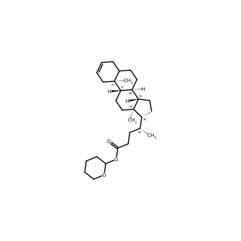 C[C@H](CCC(=O)OC1CCCCO1)[C@H]1CC[C@H]2[C@@H]3CCC4CC=CC[C@]4(C)[C@H]3CC[C@]12C